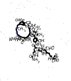 COc1cc2cc(c1Cl)N(C)C(=O)C[C@H](OC(=O)[C@H](C)N(C)C(=O)c1ccc(NC(=O)[C@H](CCCNC(N)=O)NC(=O)[C@@H](NC(C=O)CCCCNC(C=O)(CBr)CBr)C(C)C)c(O)c1)[C@]1(C)O[C@H]1[C@H](C)[C@@H]1C[C@@](O)(NC(=O)O1)[C@H](OC)/C=C/C=C(\C)C2